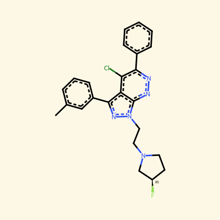 Cc1cccc(-c2nn(CCN3CC[C@@H](F)C3)c3nnc(-c4ccccc4)c(Cl)c23)c1